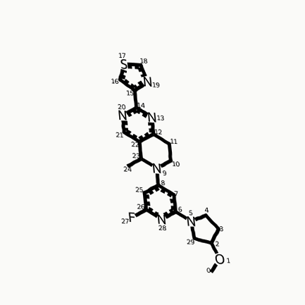 COC1CCN(c2cc(N3CCc4nc(-c5cscn5)ncc4C3C)cc(F)n2)C1